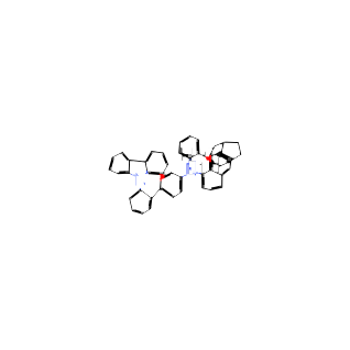 CC[C@]1(c2ccccc2N(c2ccc(-c3ccccc3-n3c4ccccc4c4ccccc43)cc2)c2cccc3ccccc23)CC2CCC(C1)[C@H]2C